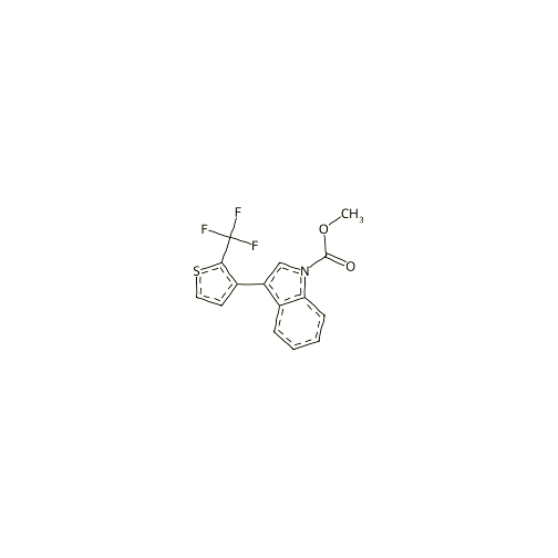 COC(=O)n1cc(-c2ccsc2C(F)(F)F)c2ccccc21